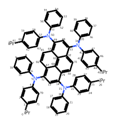 CC(C)c1ccc(N(c2ccccc2)c2cc(N(c3ccccc3)c3ccc(C(C)C)cc3)c3ccc4c(N(c5ccccc5)c5ccc(C(C)C)cc5)cc(N(c5ccccc5)c5ccc(C(C)C)cc5)c5ccc2c3c54)cc1